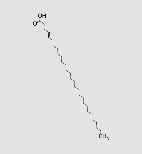 CCCCCCCCCCCCCCCCCCCCCCCC/C=C/C=C/C(=O)O